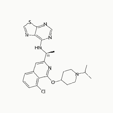 CC(C)N1CCC(Oc2nc([C@H](C)Nc3ncnc4scnc34)cc3cccc(Cl)c23)CC1